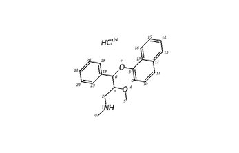 CNCC(OC)C(Oc1cccc2ccccc12)c1ccccc1.Cl